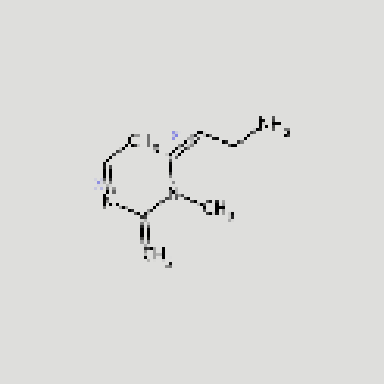 C=C(/N=C\C)N(C)/C=C\CN